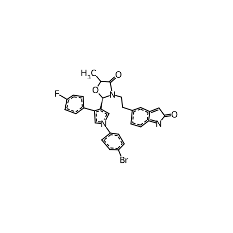 CC1O[C@H](c2cn(-c3ccc(Br)cc3)cc2-c2ccc(F)cc2)N(CCc2ccc3c(c2)=CC(=O)N=3)C1=O